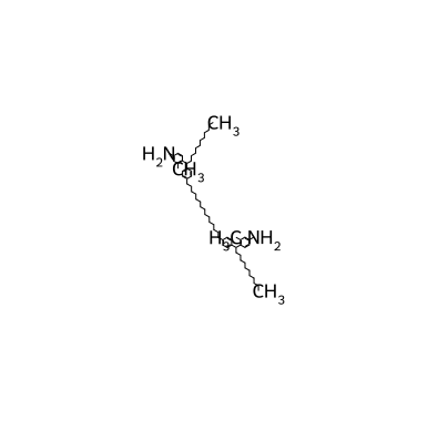 CCCCCCCCCCCC(c1ccc(CCCCCCCCCCCCCCCc2ccc(C(CCCCCCCCCCC)c3ccc(N)cc3C)cc2)cc1)c1ccc(N)cc1C